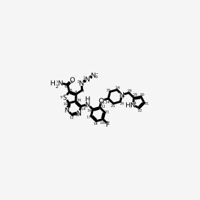 [N-]=[N+]=NCc1c(C(N)=O)sc2ncnc(Nc3ccc(F)cc3OC3CCN(Cc4ccc[nH]4)CC3)c12